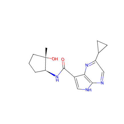 C[C@]1(O)CCC[C@@H]1NC(=O)c1c[nH]c2ncc(C3CC3)nc12